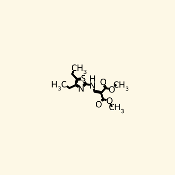 CCc1nc(NC=C(C(=O)OC)C(=O)OC)sc1CC